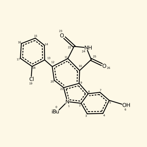 CCC(C)n1c2ccc(O)cc2c2c3c(c(-c4ccccc4Cl)cc21)C(=O)NC3=O